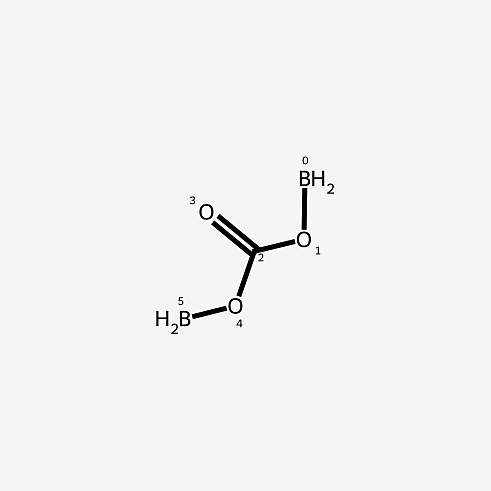 BOC(=O)OB